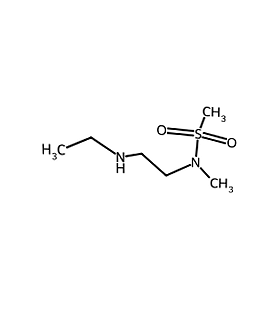 CCNCCN(C)S(C)(=O)=O